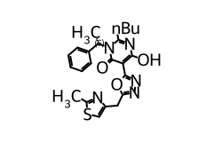 CCCCc1nc(O)c(-c2nnc(Cc3csc(C)n3)o2)c(=O)n1[C@@H](C)c1ccccc1